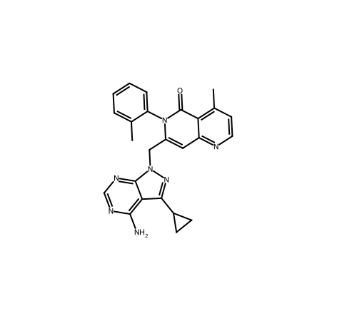 Cc1ccccc1-n1c(Cn2nc(C3CC3)c3c(N)ncnc32)cc2nccc(C)c2c1=O